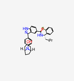 CC(C)C[C@H](NC(=O)c1ccc2[nH]nc(-c3ccc(N4[C@@H]5CC[C@H]4C[C@H](O)C5)cc3)c2c1)c1ccccc1F